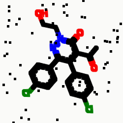 CC(=O)c1c(-c2ccc(Cl)cc2)c(-c2ccc(Cl)cc2)nn(CCO)c1=O